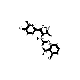 Cc1nc(-c2onc(C)c2NC(=O)O[C@H](C)c2ccccc2Cl)ccc1Br